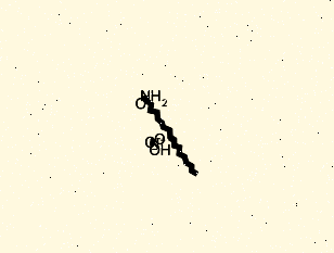 CCCCCCCCC=CCCCCCCCC(N)=O.O=[N+]([O-])O